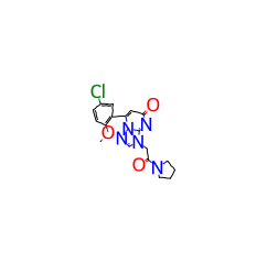 COc1ccc(Cl)cc1-c1cc(=O)nc2n(CC(=O)N3CCCC3)cnn12